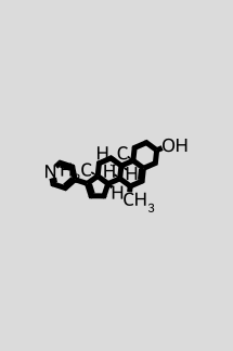 CC1C=C2CC(O)CC[C@]2(C)[C@@H]2CC[C@]3(C)C(c4ccncc4)=CC[C@H]3[C@H]12